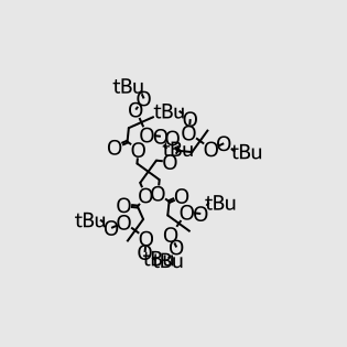 CC(C)(C)OOC(C)(CC(=O)OCC(COC(=O)CC(C)(OOC(C)(C)C)OOC(C)(C)C)(COC(=O)CC(C)(OOC(C)(C)C)OOC(C)(C)C)COC(=O)CC(C)(OOC(C)(C)C)OOC(C)(C)C)OOC(C)(C)C